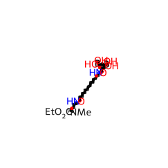 CCOC(=O)[C@H](CCCCNC(=O)CCCCCCCCCCCCCCNC(=O)c1cc(B(O)O)cc(B(O)O)c1)NC